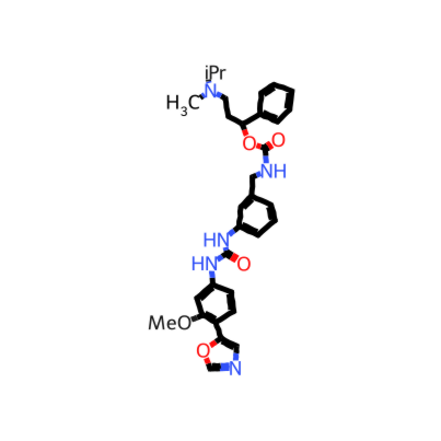 COc1cc(NC(=O)Nc2cccc(CNC(=O)OC(CCN(C)C(C)C)c3ccccc3)c2)ccc1-c1cnco1